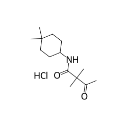 CC(=O)C(C)(C)C(=O)NC1CCC(C)(C)CC1.Cl